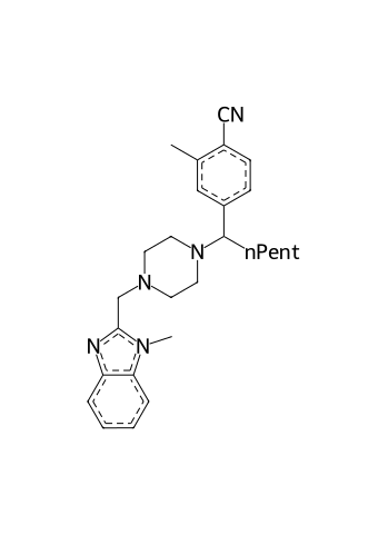 CCCCCC(c1ccc(C#N)c(C)c1)N1CCN(Cc2nc3ccccc3n2C)CC1